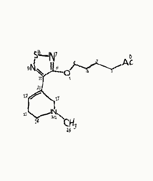 CC(=O)CCCCOc1nsnc1C1=CCCN(C)C1